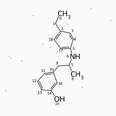 CCc1ccc(NC(C)Cc2cccc(O)c2)cc1